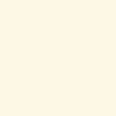 CC(OC(=O)C[C]=O)Oc1cccc2ccccc12